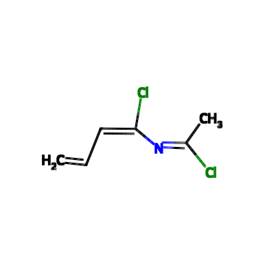 C=C/C=C(Cl)\N=C(/C)Cl